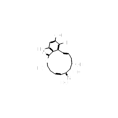 C[C@H]1C/C=C\C(=NO)[C@@H](O)[C@@H](O)C/C=C/c2c(Cl)c(O)cc(O)c2C(=O)O1